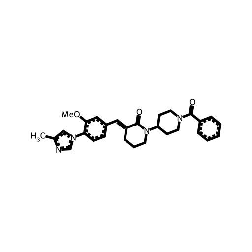 COc1cc(/C=C2\CCCN(C3CCN(C(=O)c4ccccc4)CC3)C2=O)ccc1-n1cnc(C)c1